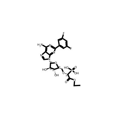 CCOC(=O)[C@H](OC[C@H]1O[C@@H](n2cnc3c(N)nc(-c4cc(F)cc(F)c4)nc32)[C@H](O)[C@H]1O)P(=O)(O)O